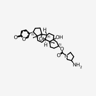 C[C@]12CC[C@H](OC(=O)N3CCC(N)C3)C[C@@]1(O)CC[C@@H]1[C@@H]2CC[C@]2(C)[C@@H](c3ccc(=O)oc3)CC[C@]12O